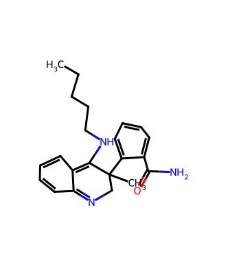 CCCCCNC1=c2ccccc2=NCC1(C)c1ccccc1C(N)=O